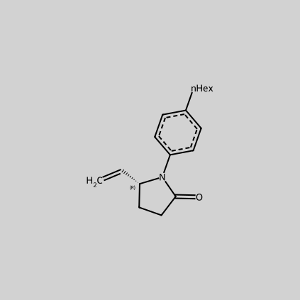 C=C[C@H]1CCC(=O)N1c1ccc(CCCCCC)cc1